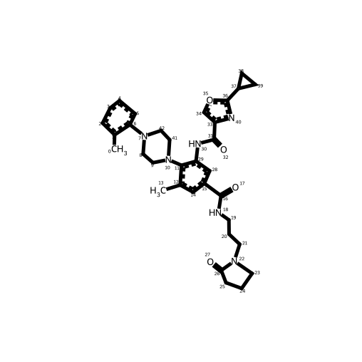 Cc1ccccc1N1CCN(c2c(C)cc(C(=O)NCCCN3CCCC3=O)cc2NC(=O)c2coc(C3CC3)n2)CC1